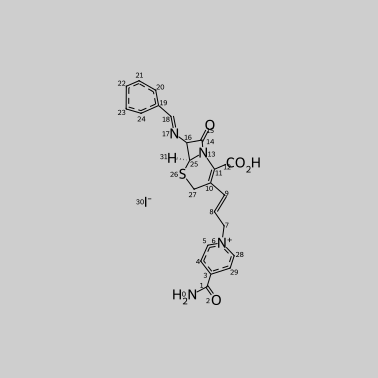 NC(=O)c1cc[n+](CC=CC2=C(C(=O)O)N3C(=O)C(N=Cc4ccccc4)[C@@H]3SC2)cc1.[I-]